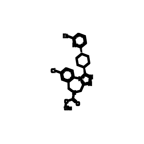 CCc1cccc([C@H]2CC[C@H](c3nnc4n3-c3ccc(Cl)cc3CN(C(=O)OC(C)(C)C)C4)CC2)n1